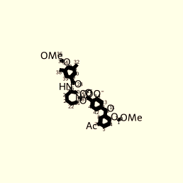 COCOc1ccc(C(C)=O)cc1C(=O)c1ccc(C(=O)O[N+]2(C(=O)[O-])CCCCC(NC(=O)c3cc(C)c(OCOC)c(C)c3)C2)cc1